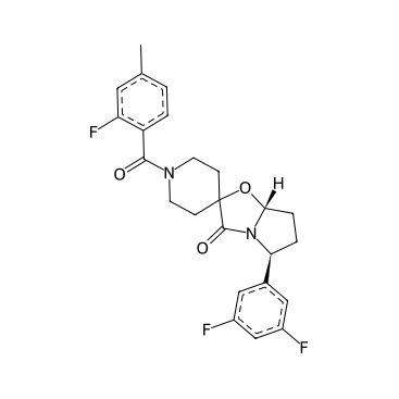 Cc1ccc(C(=O)N2CCC3(CC2)O[C@@H]2CC[C@@H](c4cc(F)cc(F)c4)N2C3=O)c(F)c1